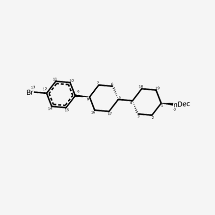 CCCCCCCCCC[C@H]1CC[C@H]([C@H]2CC[C@H](c3ccc(Br)cc3)CC2)CC1